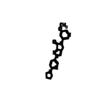 COc1cncc(N2Cc3cn(-c4ccc(N5CCCC5)nc4)nc3C2=O)c1